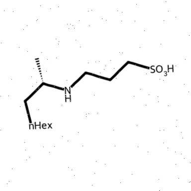 CCCCCCC[C@H](C)NCCCS(=O)(=O)O